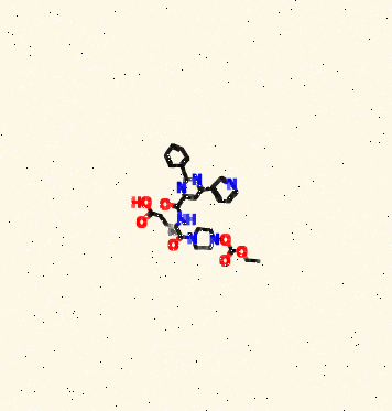 CCOC(=O)ON1CCN(C(=O)[C@H](CCC(=O)O)NC(=O)c2cc(-c3cccnc3)nc(-c3ccccc3)n2)CC1